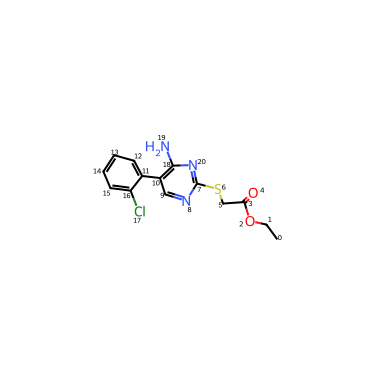 CCOC(=O)CSc1ncc(-c2ccccc2Cl)c(N)n1